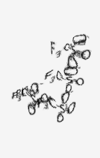 O=S(=O)([O-])C(F)(F)F.O=S(=O)([O-])C(F)(F)F.O=S(=O)([O-])C(F)(F)F.O=S(=O)([O-])C(F)(F)F.[Pt+4]